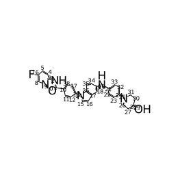 O=C(Nc1ccc(F)cn1)c1ccc(-n2ccc3cc(Nc4ccc(N5CCC(O)CC5)cc4)ccc32)cc1